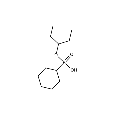 CCC(CC)OP(=O)(O)C1CCCCC1